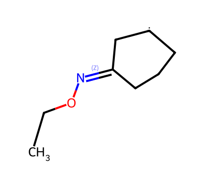 CCO/N=C1/C[CH]CCC1